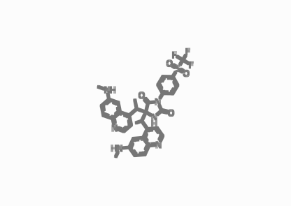 CNc1ccc2nccc(C(C)C3(C(C)c4ccnc5ccc(NC)cc45)NC(=O)N(c4ccc(S(=O)(=O)C(F)(F)F)cc4)C3=O)c2c1